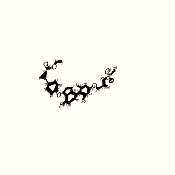 CCOC(=O)[C@H]1C[C@@H]1c1ccc(O[C@@H]2CCc3c(-c4c(C)cc(OCC(C)CS(C)(=O)=O)cc4C)ccc(F)c32)cc1